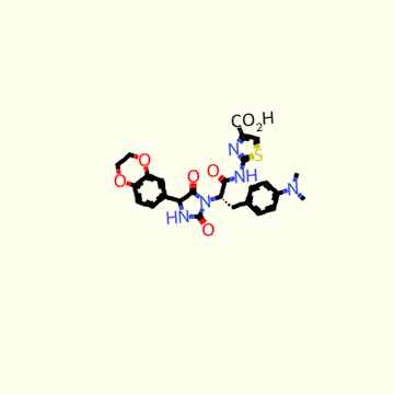 CN(C)c1ccc(C[C@@H](C(=O)Nc2nc(C(=O)O)cs2)N2C(=O)NC(c3ccc4c(c3)OCCO4)C2=O)cc1